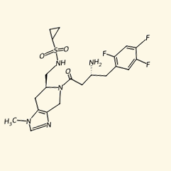 Cn1cnc2c1C[C@@H](CNS(=O)(=O)C1CC1)N(C(=O)C[C@H](N)Cc1cc(F)c(F)cc1F)C2